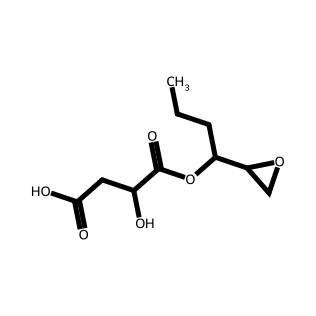 CCCC(OC(=O)C(O)CC(=O)O)C1CO1